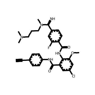 C#Cc1ccc(NC(=O)c2cc(Cl)cc(OC)c2NC(=O)c2ccc(C(=N)N(C)CCCN(C)C)cc2F)cc1